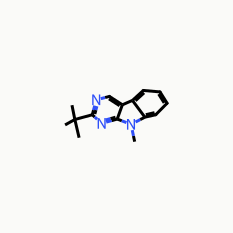 Cn1c2ccccc2c2cnc(C(C)(C)C)nc21